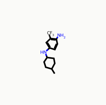 CC1CCC(Nc2ccc(N)c(C(F)(F)F)c2)CC1